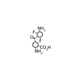 Nc1ccc(C(=O)c2c(F)ccc(N)c2F)cc1C(=O)O